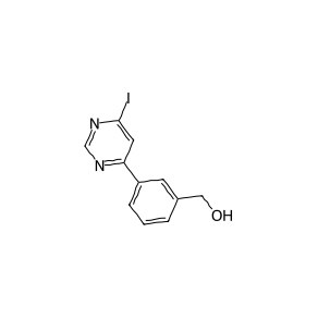 OCc1cccc(-c2cc(I)ncn2)c1